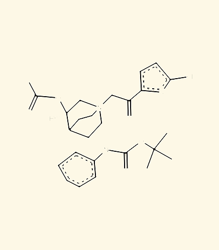 CC(=O)O[C@H]1C[N+]2(CC(=O)c3ccc(Cl)s3)CCC1CC2.CC(C)(C)OC(=O)Nc1ccccc1